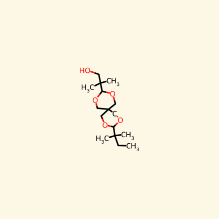 CCC(C)(C)C1OCC2(CO1)COC(C(C)(C)CO)OC2